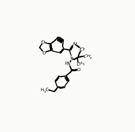 CCc1ccc(C(=O)NN2C(c3ccc4c(c3)OCO4)=NOC2(C)C)cc1